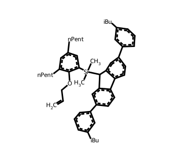 C=CCOc1c(CCCCC)cc(CCCCC)cc1[Si](C)(C)C1c2cc(-c3cccc(C(C)CC)c3)ccc2-c2ccc(-c3cccc(C(C)CC)c3)cc21